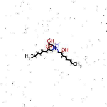 CCCCCCC(O)CNN(CCO)CC(O)CCCCCC